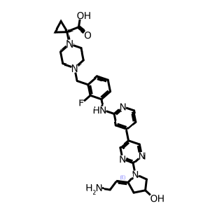 NC/C=C1\CC(O)CN1c1ncc(-c2ccnc(Nc3cccc(CN4CCN(C5(C(=O)O)CC5)CC4)c3F)c2)cn1